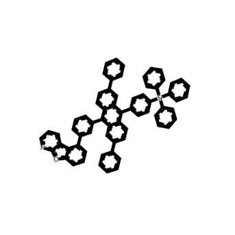 c1ccc(-c2ccc3c(-c4cccc(-c5cccc6oc7ncccc7c56)c4)c4cc(-c5ccccc5)ccc4c(-c4ccc([Si](c5ccccc5)(c5ccccc5)c5ccccc5)cc4)c3c2)cc1